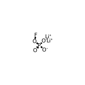 O=P([O-])([O-])OF.[Li+].[Li+]